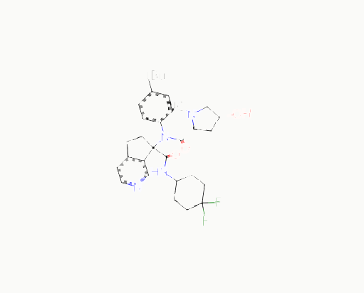 CC(C)(C)c1ccc(N(C(=O)[C@H]2C[C@@H](O)CN2C#N)C2(C(=O)NC3CCC(F)(F)CC3)CCc3ccncc32)cc1